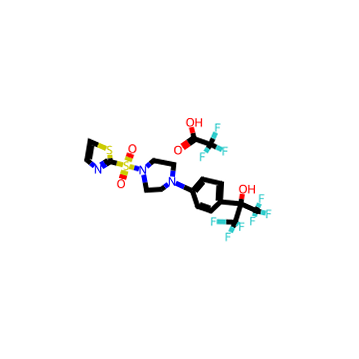 O=C(O)C(F)(F)F.O=S(=O)(c1nccs1)N1CCN(c2ccc(C(O)(C(F)(F)F)C(F)(F)F)cc2)CC1